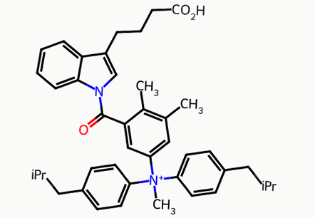 Cc1cc([N+](C)(c2ccc(CC(C)C)cc2)c2ccc(CC(C)C)cc2)cc(C(=O)n2cc(CCCC(=O)O)c3ccccc32)c1C